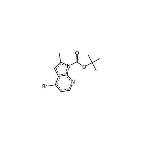 Cc1cc2c(Br)ccnc2n1C(=O)OC(C)(C)C